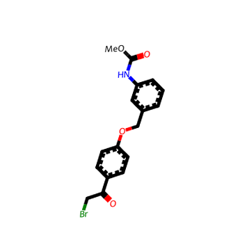 COC(=O)Nc1cccc(COc2ccc(C(=O)CBr)cc2)c1